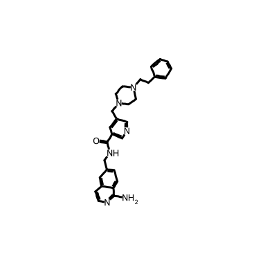 Nc1nccc2cc(CNC(=O)c3cncc(CN4CCN(CCc5ccccc5)CC4)c3)ccc12